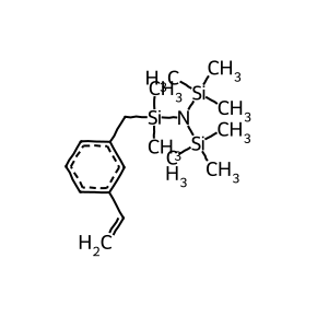 C=Cc1cccc(C[Si](C)(C)N([Si](C)(C)C)[Si](C)(C)C)c1